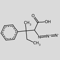 CCC(C)(c1ccccc1)C(N=[N+]=[N-])C(=O)O